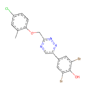 Cc1cc(Cl)ccc1OCc1ncc(-c2cc(Br)c(O)c(Br)c2)nn1